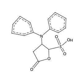 O=C1CC(N(c2ccccc2)c2ccccc2)C(S(=O)(=O)O)O1